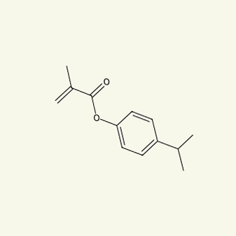 C=C(C)C(=O)Oc1ccc(C(C)C)cc1